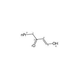 CCCCC(=O)C=CO